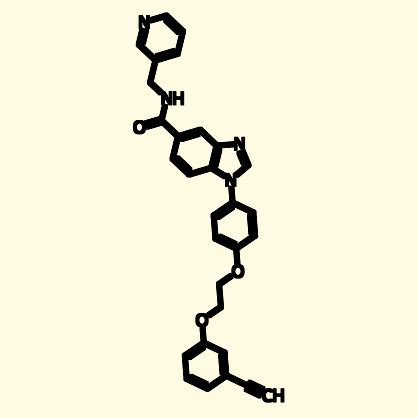 C#Cc1cccc(OCCOc2ccc(-n3cnc4cc(C(=O)NCc5cccnc5)ccc43)cc2)c1